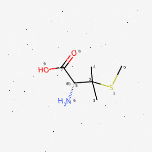 CSC(C)(C)[C@H](N)C(=O)O